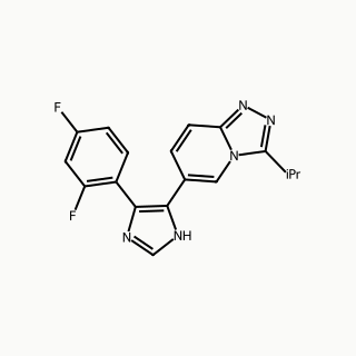 CC(C)c1nnc2ccc(-c3[nH]cnc3-c3ccc(F)cc3F)cn12